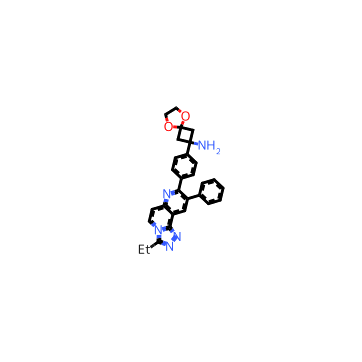 CCc1nnc2c3cc(-c4ccccc4)c(-c4ccc(C5(N)CC6(C5)OCCO6)cc4)nc3ccn12